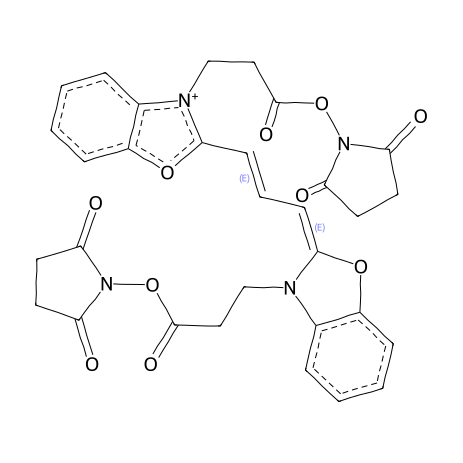 O=C(CCN1/C(=C\C=C\c2oc3ccccc3[n+]2CCC(=O)ON2C(=O)CCC2=O)Oc2ccccc21)ON1C(=O)CCC1=O